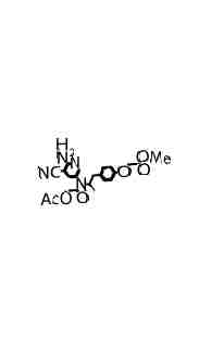 COC(=O)COc1ccc(CC(C)N(C(=O)COC(C)=O)c2cnc(N)c(C#N)c2)cc1